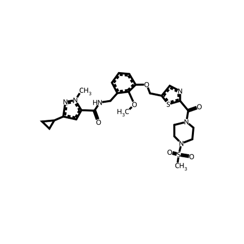 COc1c(CNC(=O)c2cc(C3CC3)nn2C)cccc1OCc1cnc(C(=O)N2CCN(S(C)(=O)=O)CC2)s1